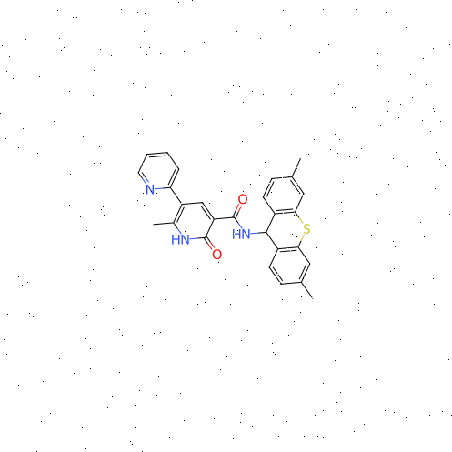 Cc1ccc2c(c1)Sc1cc(C)ccc1C2NC(=O)c1cc(-c2ccccn2)c(C)[nH]c1=O